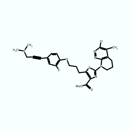 COC(=O)c1nc(N2CCCc3c2nnc(Cl)c3C)sc1CCCOc1ccc(C#CCN(C)C)cc1F